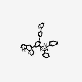 c1ccc(-c2nc(-c3ccccc3)nc(-c3cc(-c4ccc(-c5ccccn5)cc4)cc(-c4cc5cccnc5c5ncccc45)c3)n2)cc1